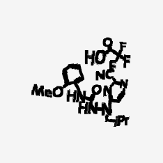 COc1ccccc1NC(=O)NN(CC(C)C)c1ccnc(C#N)n1.O=C(O)C(F)(F)F